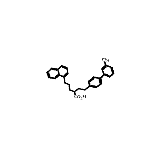 N#Cc1cccc(-c2ccc(CCC(CCCc3cccc4ccccc34)C(=O)O)cc2)c1